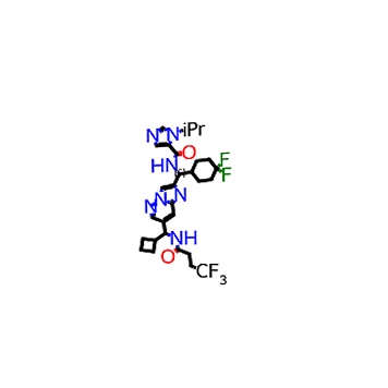 CC(C)n1cncc1C(=O)N[C@H](c1cn2ncc(C(NC(=O)CCC(F)(F)F)C3CCC3)cc2n1)C1CCC(F)(F)CC1